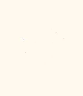 [c]1cc(-c2ccncc2)c2c(c1)sc1ccccc12